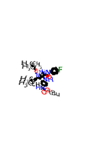 CC(C)(C)OC(=O)NC1CCC(Nc2c(C(=O)Nc3ccc(F)cc3)cnc3c2cc(C#C[Si](C)(C)C)n3COCC[Si](C)(C)C)CC1